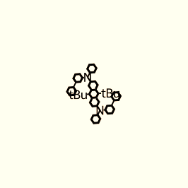 CC(C)(C)c1c2ccc(N(c3ccccc3)c3cccc(-c4ccccc4)c3)cc2c(C(C)(C)C)c2ccc(N(c3ccccc3)c3cccc(-c4ccccc4)c3)cc12